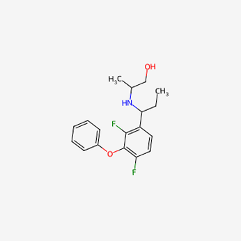 CCC(NC(C)CO)c1ccc(F)c(Oc2ccccc2)c1F